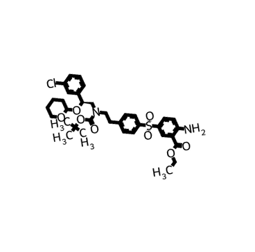 CCOC(=O)c1cc(S(=O)(=O)c2ccc(CCN(C[C@@H](OC3CCCCO3)c3cccc(Cl)c3)C(=O)OC(C)(C)C)cc2)ccc1N